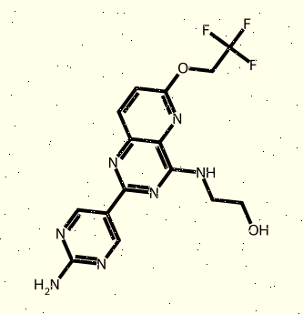 Nc1ncc(-c2nc(NCCO)c3nc(OCC(F)(F)F)ccc3n2)cn1